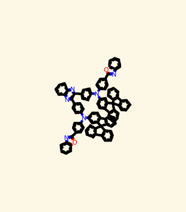 c1ccc2c(c1)-c1ccccc1C21c2ccccc2-c2ccc(N(c3ccc(-c4nc5ccccc5o4)cc3)c3ccc(-c4nc5ccccc5nc4-c4ccc(N(c5ccc(-c6nc7ccccc7o6)cc5)c5ccc6c(c5)C5(c7ccccc7-c7ccccc75)c5ccccc5-6)cc4)cc3)cc21